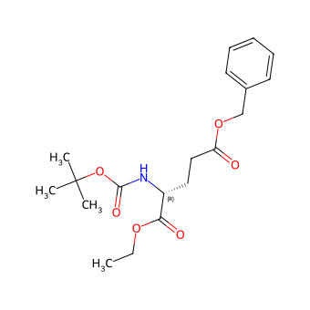 CCOC(=O)[C@@H](CCC(=O)OCc1ccccc1)NC(=O)OC(C)(C)C